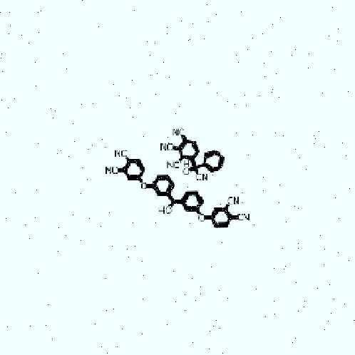 N#Cc1ccc(C(O)(C#N)c2ccccc2)c(C#N)c1C#N.N#Cc1ccc(Oc2cccc(C(O)c3cccc(Oc4ccc(C#N)c(C#N)c4)c3)c2)cc1C#N